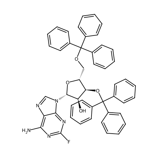 Nc1nc(F)nc2c1ncn2[C@@H]1O[C@H](COC(c2ccccc2)(c2ccccc2)c2ccccc2)[C@@H](OC(c2ccccc2)(c2ccccc2)c2ccccc2)[C@H]1O